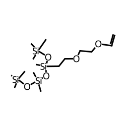 C=COCCOCC[Si](C)(O[Si](C)(C)C)O[Si](C)(C)O[Si](C)(C)C